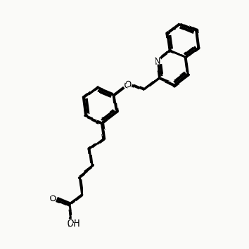 O=C(O)CCCCCc1cccc(OCc2ccc3ccccc3n2)c1